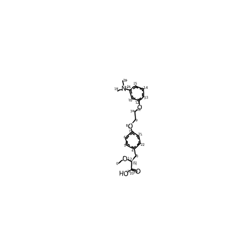 CO[C@@H](Cc1ccc(OCCOc2cccc(N(C)C)c2)cc1)C(=O)O